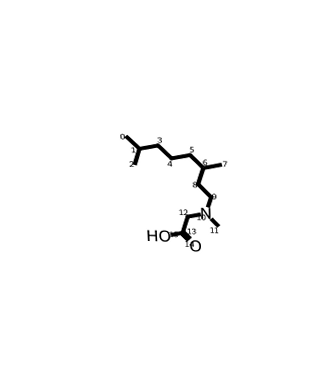 CC(C)CCCC(C)CCN(C)CC(=O)O